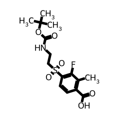 Cc1c(C(=O)O)ccc(S(=O)(=O)CCNC(=O)OC(C)(C)C)c1F